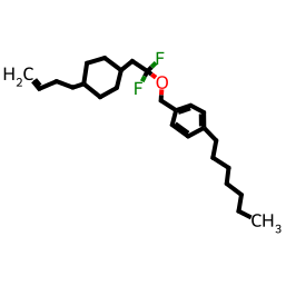 C=CCCC1CCC(CC(F)(F)OCc2ccc(CCCCCCC)cc2)CC1